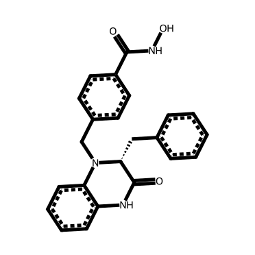 O=C(NO)c1ccc(CN2c3ccccc3NC(=O)[C@H]2Cc2ccccc2)cc1